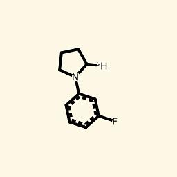 [2H]C1CCCN1c1cccc(F)c1